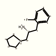 N[C@H](Cc1ccccc1F)CN1CCCC1